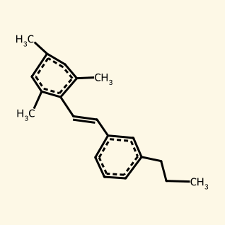 CCCc1cccc(/C=C/c2c(C)cc(C)cc2C)c1